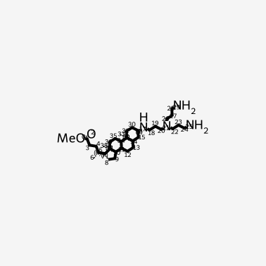 COC(=O)CC[C@@H](C)[C@H]1CCC2C3CCC4C[C@@H](NCCCN(CCCN)CCCN)CC[C@]4(C)C3CC[C@@]21C